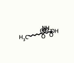 CCCCCCCCC(=O)C(CCC(=O)O)S(N)(=O)=O